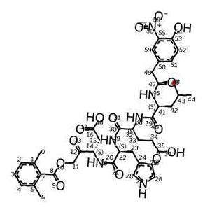 Cc1cccc(C)c1C(=O)OCC(=O)[C@H](CC(=O)O)NC(=O)[C@H](Cc1cc[nH]c1)NC(=O)[C@H](CCC(=O)O)NC(=O)[C@H](CC(C)C)NC(=O)Cc1ccc(O)c([N+](=O)[O-])c1